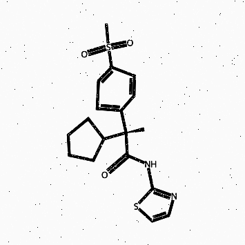 C[C@](C(=O)Nc1nccs1)(c1ccc(S(C)(=O)=O)cc1)C1CCCC1